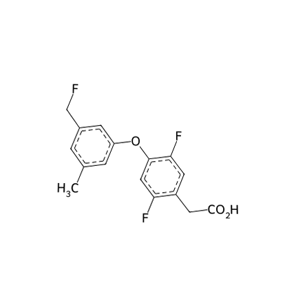 Cc1cc(CF)cc(Oc2cc(F)c(CC(=O)O)cc2F)c1